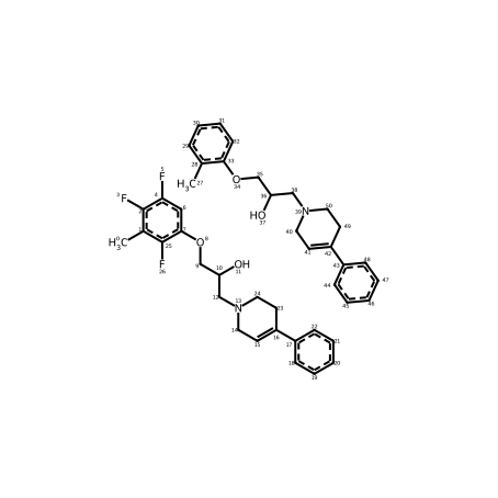 Cc1c(F)c(F)cc(OCC(O)CN2CC=C(c3ccccc3)CC2)c1F.Cc1ccccc1OCC(O)CN1CC=C(c2ccccc2)CC1